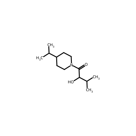 CC(C)C1CCN(C(=O)C(O)C(C)C)CC1